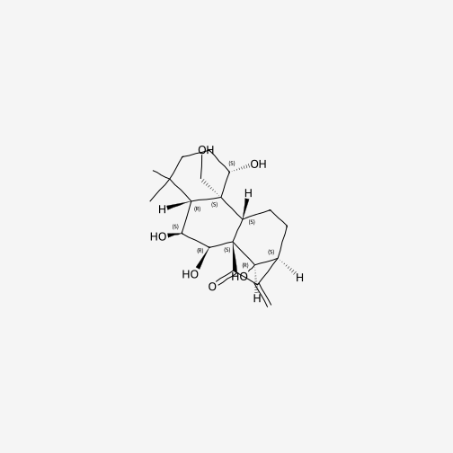 C=C1C(=O)[C@]23[C@H](O)[C@H]1CC[C@H]2[C@@]1(CO)[C@H]([C@H](O)[C@@H]3O)C(C)(C)CC[C@@H]1O